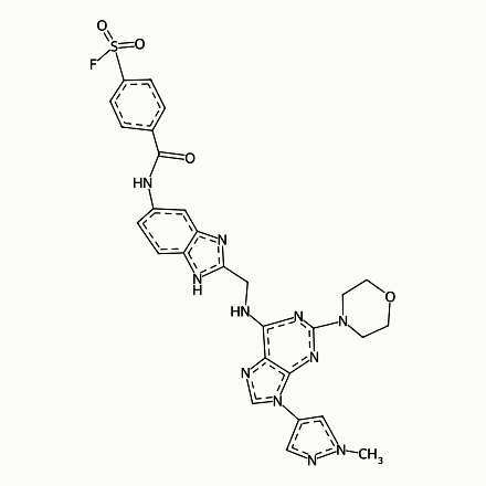 Cn1cc(-n2cnc3c(NCc4nc5cc(NC(=O)c6ccc(S(=O)(=O)F)cc6)ccc5[nH]4)nc(N4CCOCC4)nc32)cn1